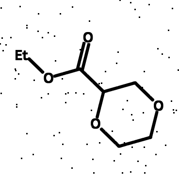 CCOC(=O)C1COCCO1